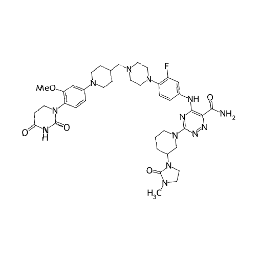 COc1cc(N2CCC(CN3CCN(c4ccc(Nc5nc(N6CCCC(N7CCN(C)C7=O)C6)nnc5C(N)=O)cc4F)CC3)CC2)ccc1N1CCC(=O)NC1=O